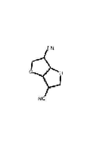 N#CC1COC2C(C#N)COC12